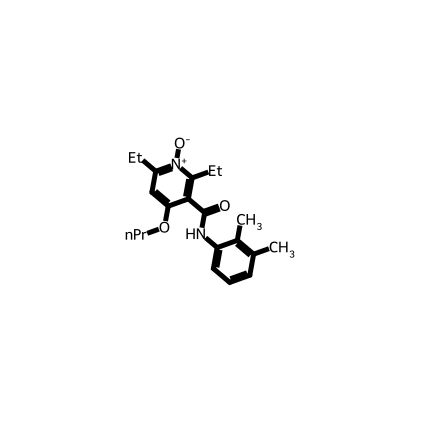 CCCOc1cc(CC)[n+]([O-])c(CC)c1C(=O)Nc1cccc(C)c1C